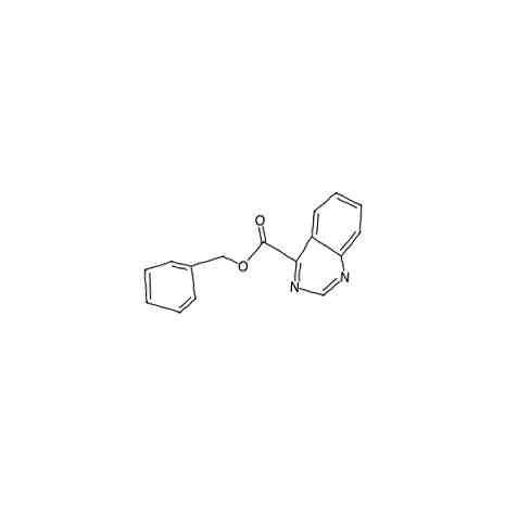 O=C(OCc1ccccc1)c1ncnc2ccccc12